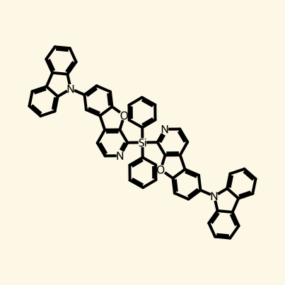 c1ccc([Si](c2ccccc2)(c2nccc3c2oc2ccc(-n4c5ccccc5c5ccccc54)cc23)c2nccc3c2oc2ccc(-n4c5ccccc5c5ccccc54)cc23)cc1